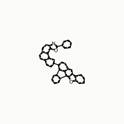 c1ccc(-c2nc3ccc4ccc5ccc(-c6ccc7cc8c(oc9ccccc98)c8c7c6-c6ccccc6-8)cc5c4c3o2)cc1